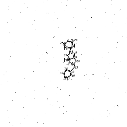 Cc1cc(C)nc(N2C=C3CN(Cc4ccccc4)C[C@@H]3C2)n1